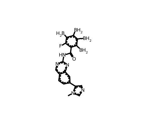 Bc1c(B)c(B)c(C(=O)Nc2ncc3ccc(-c4cncn4C)cc3n2)c(F)c1B